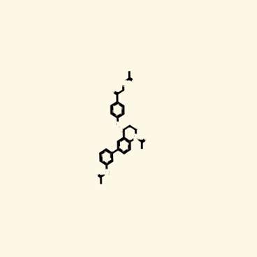 CC(=O)Nc1cccc(-c2ccc3c(c2)[C@H](Nc2ccc(C(=O)COC(C)=O)cc2)C[C@H](C)N3C(C)=O)c1